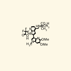 COc1cc2c(nc1OC)c(-c1cc3c(CNC(C)(C)C(=O)O)ccnc3[nH]1)cn2C.O=C(O)C(F)(F)F